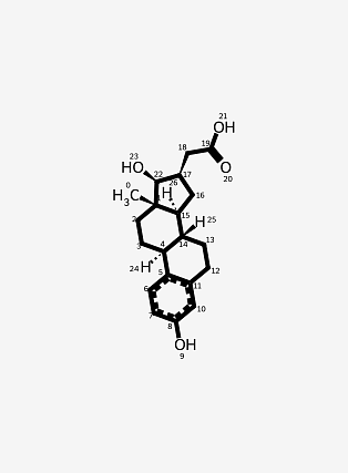 C[C@]12CC[C@@H]3c4ccc(O)cc4CC[C@H]3[C@@H]1C[C@H](CC(=O)O)[C@@H]2O